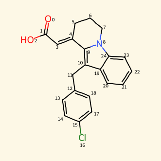 O=C(O)C=C1CCCn2c1c(Cc1ccc(Cl)cc1)c1ccccc12